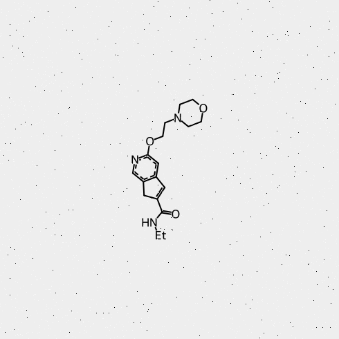 CCNC(=O)C1=Cc2cc(OCCN3CCOCC3)ncc2C1